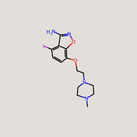 CN1CCN(CCOc2ccc(I)c3c(N)noc23)CC1